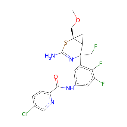 COC[C@@]12CC1[C@@](CF)(c1cc(NC(=O)c3ccc(Cl)cn3)cc(F)c1F)N=C(N)S2